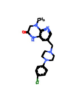 CN1CC(=O)Nc2cc(CN3CCN(c4ccc(Cl)cc4)CC3)cnc21